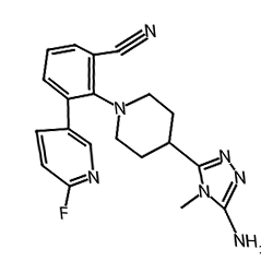 Cn1c(N)nnc1C1CCN(c2c(C#N)cccc2-c2ccc(F)nc2)CC1